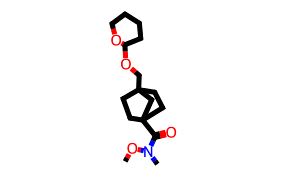 CON(C)C(=O)C12CCC(COC3CCCCO3)(CC1)C2